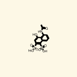 CC(=O)Nc1cccc2c(S(=O)(=O)O)c(S(=O)(=O)O)cc(O)c12